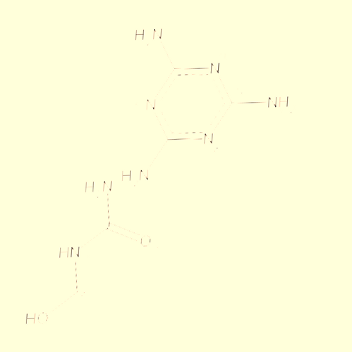 NC(=O)NCO.Nc1nc(N)nc(N)n1